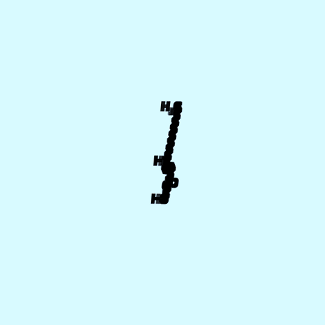 CCCCCCCCCCCCCCCCNc1ccc(CCC(=O)OCCCO)cc1